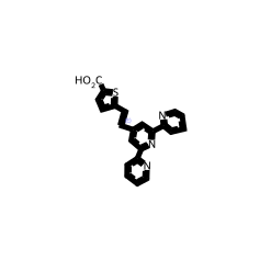 O=C(O)c1ccc(/C=C/c2cc(-c3ccccn3)nc(-c3ccccn3)c2)s1